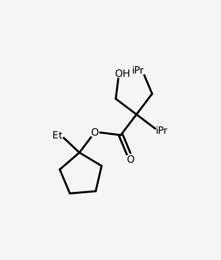 CCC1(OC(=O)C(CO)(CC(C)C)C(C)C)CCCC1